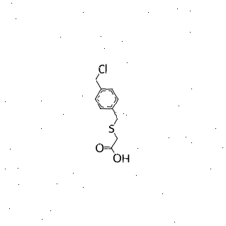 O=C(O)CSCc1ccc(CCl)cc1